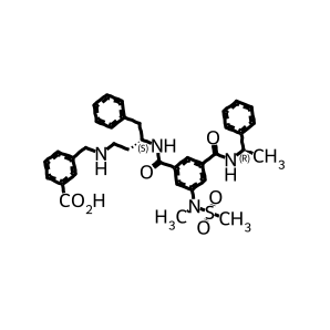 C[C@@H](NC(=O)c1cc(C(=O)N[C@H](CCNCc2cccc(C(=O)O)c2)Cc2ccccc2)cc(N(C)S(C)(=O)=O)c1)c1ccccc1